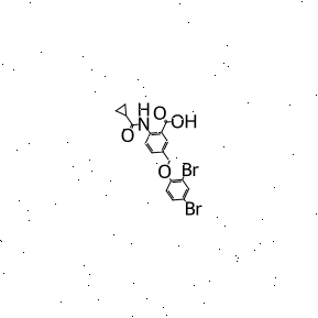 O=C(O)c1cc(COc2ccc(Br)cc2Br)ccc1NC(=O)C1CC1